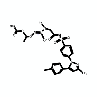 CCN(CC(=O)NS(=O)(=O)c1ccc(-n2nc(C(F)(F)F)cc2-c2ccc(C)cc2)cc1)/[N+]([O-])=N/OC(C)OC(=O)C(C)(C)C